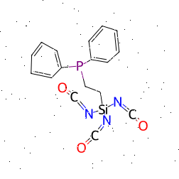 O=C=N[Si](CCP(c1ccccc1)c1ccccc1)(N=C=O)N=C=O